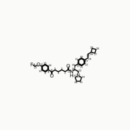 O=C(CCCCC(=O)c1ccc(OCF)cc1)N[C@@H](Cc1ccc(CCC2CCC2)cc1)CN1CCCC1